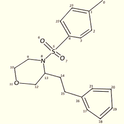 Cc1ccc(S(=O)(=O)N2CCOCC2CCc2ccccc2)cc1